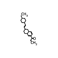 C=CC(=O)C1=CC2CCC(C=CC3CCC(CC)CC3)CC2C=C1